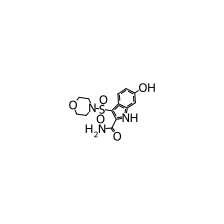 NC(=O)c1[nH]c2cc(O)ccc2c1S(=O)(=O)N1CCOCC1